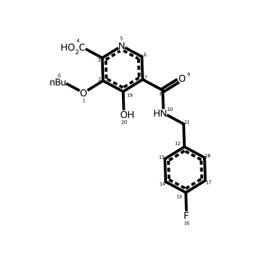 CCCCOc1c(C(=O)O)ncc(C(=O)NCc2ccc(F)cc2)c1O